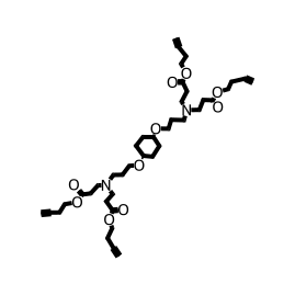 C#CCCOC(=O)CCN(CCCO[C@H]1CC[C@H](OCCCN(CCC(=O)OCCC#C)CCC(=O)OCCC#C)CC1)CCC(=O)OCCC#C